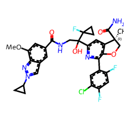 COc1cc(C(=O)NCC(O)(c2cc3c(c(-c4cc(Cl)c(F)cc4F)n2)OC[C@]3(C)C(N)=O)C2(F)CC2)cc2cn(C3CC3)nc12